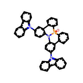 O=P12c3ccccc3-c3cc(-n4c5ccccc5c5ccccc54)ccc3N1c1ccc(-n3c4ccccc4c4ccccc43)cc1-c1ccccc12